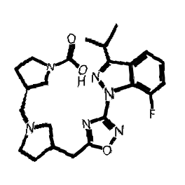 CC(C)c1nn(-c2noc(CC3CCN(C[C@H]4CCN(C(=O)O)C4)C3)n2)c2c(F)cccc12